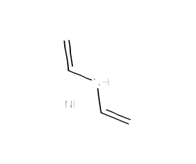 C=CNC=C.N